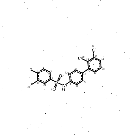 Cc1ccc(S(=O)(=O)Nc2ccc(-c3cccc(Cl)c3Cl)cn2)cc1F